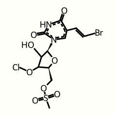 CS(=O)(=O)OC[C@@H]1O[C@H](n2cc(/C=C/Br)c(=O)[nH]c2=O)C(O)C1OCl